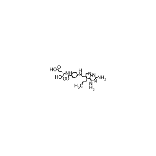 C=CCc1c(CNc2ccc(C(=O)N[C@@H](CCC(=O)O)C(=O)O)cc2)cnc2nc(N)nc(N)c12